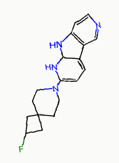 FC1CC2(CCN(C3=CC=C4c5cnccc5NC4N3)CC2)C1